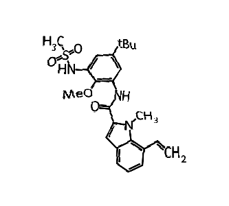 C=Cc1cccc2cc(C(=O)Nc3cc(C(C)(C)C)cc(NS(C)(=O)=O)c3OC)n(C)c12